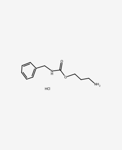 Cl.NCCCOC(=O)NCc1ccccc1